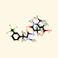 CN[C@@H](C(=O)N[C@H](C(=O)N(C)[C@H](/C=C(\C)C(=O)O)C(C)C)C(C)(C)C)C(C)(C)c1cccc(C(F)(F)F)c1